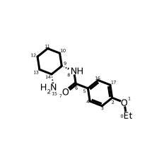 CCOc1ccc(C(=O)N[C@H]2CCCC[C@H]2N)cc1